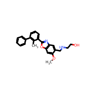 COc1cc2oc(-c3cccc(-c4ccccc4)c3C)nc2cc1CNCCO